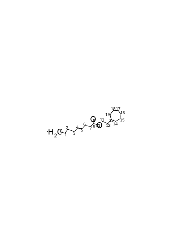 [CH2]CCCCCCCC(=O)OCCC1CCCCCC1